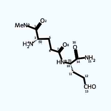 CNC(=O)[C@@H](N)CCC(=O)N[C@@H](CCC=O)C(N)=O